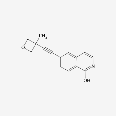 CC1(C#Cc2ccc3c(O)nccc3c2)COC1